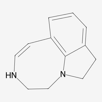 C1=Cc2cccc3c2N(CCN1)CC3